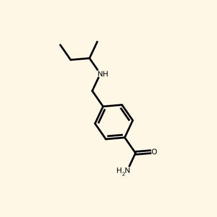 CCC(C)NCc1ccc(C(N)=O)cc1